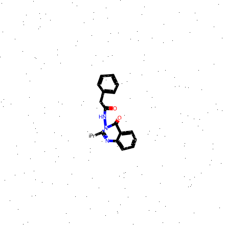 CC(C)c1nc2ccccc2c(=O)n1NC(=O)Cc1ccccc1